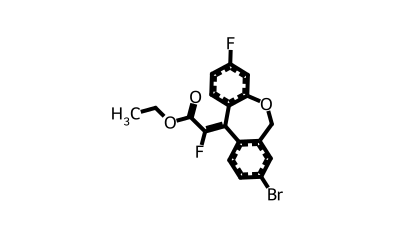 CCOC(=O)/C(F)=C1/c2ccc(Br)cc2COc2cc(F)ccc21